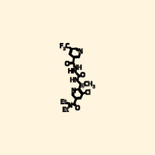 CCN(CC)C(=O)c1cnc([C@@H](C)NC(=O)NNC(=O)c2cncc(C(F)(F)F)c2)c(Cl)c1